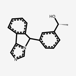 C[C@@H](O)c1cccc(C2c3ccccc3-c3cncn32)c1